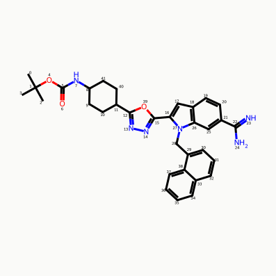 CC(C)(C)OC(=O)NC1CCC(c2nnc(-c3cc4ccc(C(=N)N)cc4n3Cc3cccc4ccccc34)o2)CC1